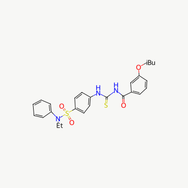 CCC(C)Oc1cccc(C(=O)NC(=S)Nc2ccc(S(=O)(=O)N(CC)c3ccccc3)cc2)c1